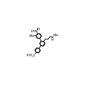 CCOC(=O)c1ccc(-c2ccc(CCCNC(C)(C)C)c(-c3ccc(N(CC)CC)c(C(C)(C)C)c3)c2)cc1